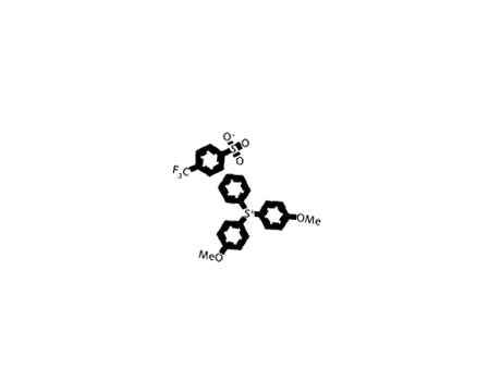 COc1ccc([S+](c2ccccc2)c2ccc(OC)cc2)cc1.O=S(=O)([O-])c1ccc(C(F)(F)F)cc1